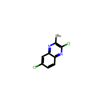 CC(C)(C)c1nc2cc(Cl)ccc2nc1Cl